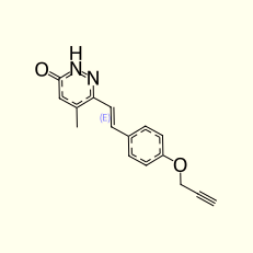 C#CCOc1ccc(/C=C/c2n[nH]c(=O)cc2C)cc1